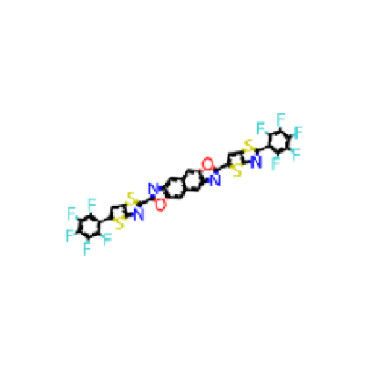 Fc1c(F)c(F)c(-c2cc3sc(-c4nc5cc6cc7oc(-c8cc9sc(-c%10c(F)c(F)c(F)c(F)c%10F)nc9s8)nc7cc6cc5o4)nc3s2)c(F)c1F